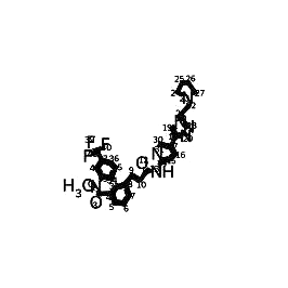 CN(C(=O)c1cccc(C=CC(=O)Nc2ccc(-c3cn(CCN4CCCC4)nn3)cn2)c1)c1cccc(C(F)(F)F)c1